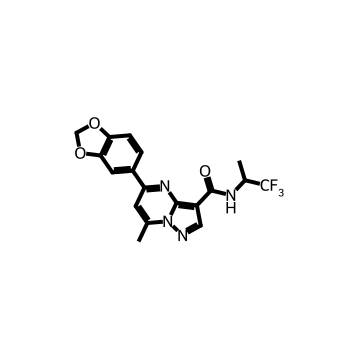 Cc1cc(-c2ccc3c(c2)OCO3)nc2c(C(=O)NC(C)C(F)(F)F)cnn12